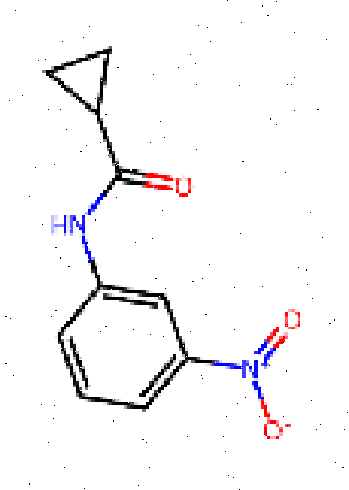 O=C(Nc1cccc([N+](=O)[O-])c1)C1CC1